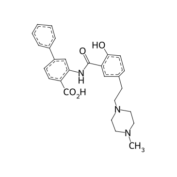 CN1CCN(CCc2ccc(O)c(C(=O)Nc3cc(-c4ccccc4)ccc3C(=O)O)c2)CC1